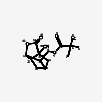 CCC(C)(C)C(=O)OCC1C2CC3C1OC(=O)C3(C#N)C2